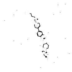 O=S(=O)(CCCO)N1CC=C(c2ccc3nc(OC4CCN(S(=O)(=O)CC(F)(F)F)CC4)sc3c2)CC1